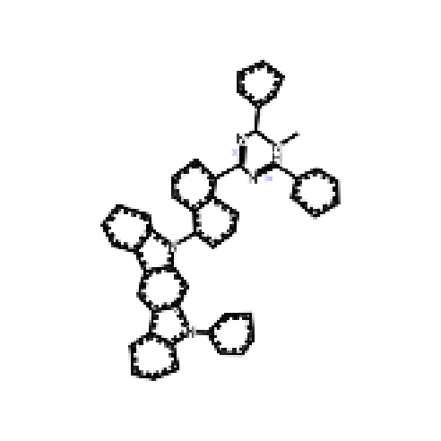 CNC(/N=C(\N=C\c1ccccc1)c1cccc2c(-n3c4ccccc4c4cc5c6ccccc6n(-c6ccccc6)c5cc43)cccc12)c1ccccc1